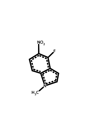 Cn1ccc2c(F)c([N+](=O)[O-])ccc21